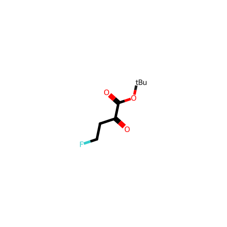 CC(C)(C)OC(=O)C(=O)CCF